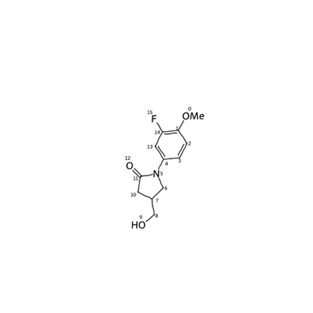 COc1ccc(N2CC(CO)CC2=O)cc1F